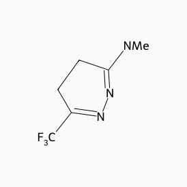 CNC1=NN=C(C(F)(F)F)CC1